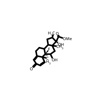 COC(=O)[C@@]1(O)C(C)CC2C3CCC4=CC(=O)C=CC4(C)[C@@]3(F)C(O)CC21C